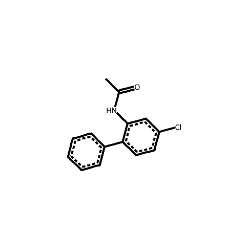 CC(=O)Nc1cc(Cl)ccc1-c1ccccc1